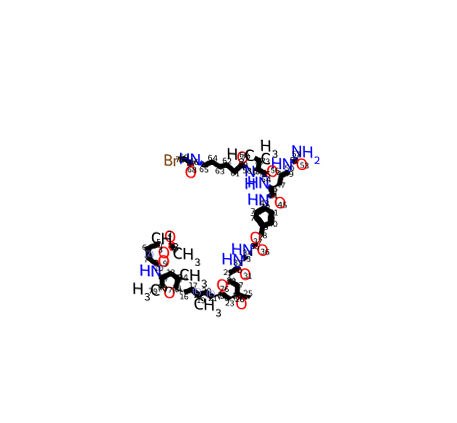 CC(=O)O[C@@H](C)/C=C\C(=O)N[C@@H]1C[C@H](C)[C@H](C/C=C(C)/C=C/[C@@H]2C[C@]3(CO3)C[C@@H](CC(=O)NCNC(=O)OCc3ccc(NC(=O)[C@H](CCCNC(N)=O)NC(=O)[C@@H](NC(=O)CCCCCNC(=O)CBr)C(C)C)cc3)O2)O[C@@H]1C